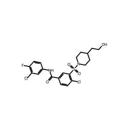 O=C(Nc1ccc(F)c(Cl)c1)c1ccc(Cl)c(S(=O)(=O)N2CCC(CCO)CC2)c1